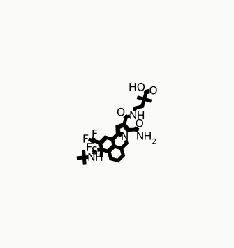 CC(C)(C)NSC1(C)C(C(F)(F)F)=CC2(C)C3=C1CCCC3Cn1c2cc(C(=O)NCCC(C)(C)C(=O)O)c1C(N)=O